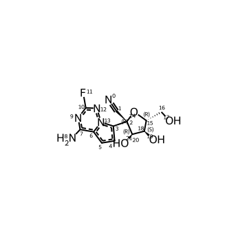 N#C[C@@]1(c2ccc3c(N)nc(F)nn23)O[C@H](CO)[C@@H](O)[C@H]1O